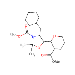 COC(=O)C1CCCOC1C1OC(C)(C)N(C(=O)OC(C)(C)C)[C@@H]1CC1CCCCC1